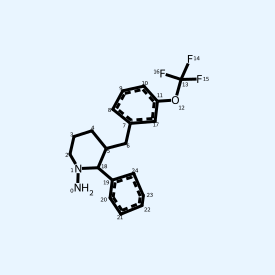 NN1CCCC(Cc2cccc(OC(F)(F)F)c2)C1c1ccccc1